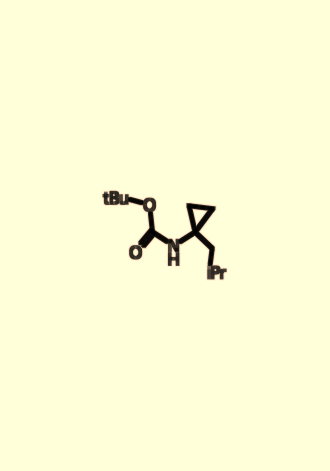 CC(C)CC1(NC(=O)OC(C)(C)C)CC1